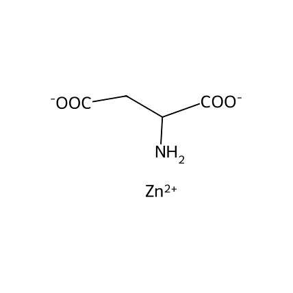 NC(CC(=O)[O-])C(=O)[O-].[Zn+2]